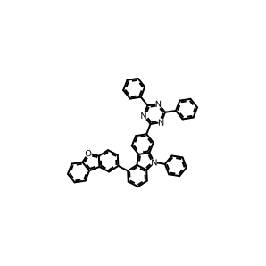 c1ccc(-c2nc(-c3ccccc3)nc(-c3ccc4c5c(-c6ccc7oc8ccccc8c7c6)cccc5n(-c5ccccc5)c4c3)n2)cc1